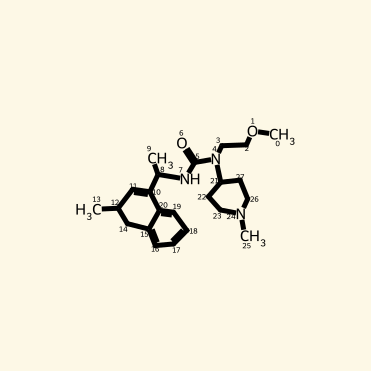 COCCN(C(=O)NC(C)C1=CC(C)Cc2ccccc21)C1CCN(C)CC1